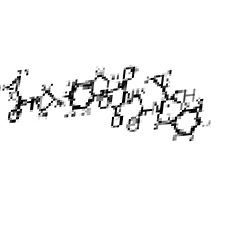 C[C@@H](C1CC1)N(Cc1ccccc1)C(=O)CN1C(=O)O[C@@]2(CCc3cc(C4CN(C(=O)C5CC5)C4)ccc32)C1=O